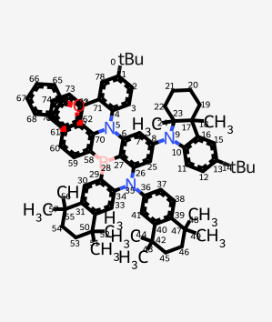 CC(C)(C)c1ccc(N2c3cc(N4c5ccc(C(C)(C)C)cc5C5(C)CCCCC45C)cc4c3B(c3cc5c(cc3N4c3ccc4c(c3)C(C)(C)CCC4(C)C)C(C)(C)CCC5(C)C)c3ccc4c(oc5ccccc54)c32)c(-c2ccccc2)c1